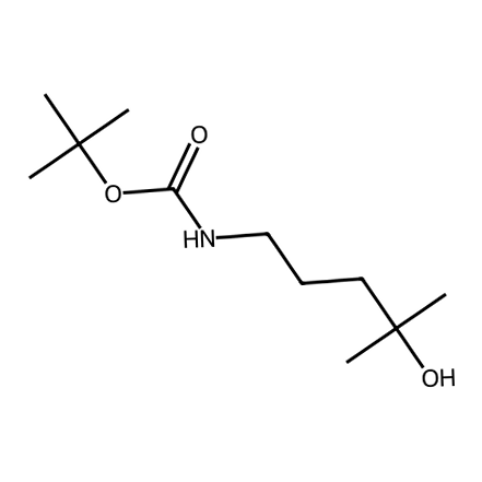 CC(C)(O)CCCNC(=O)OC(C)(C)C